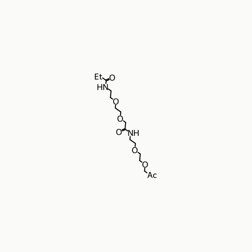 CCC(=O)NCCOCCOCC(=O)NCCOCCOCC(C)=O